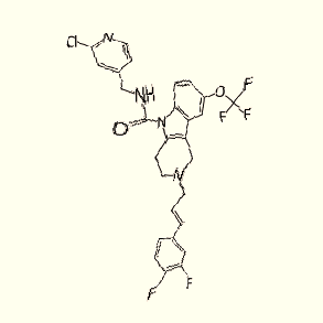 O=C(NCc1ccnc(Cl)c1)n1c2c(c3cc(OC(F)(F)F)ccc31)CN(C/C=C/c1ccc(F)c(F)c1)CC2